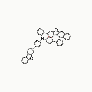 c1ccc(-c2ccc(N(c3ccc(-c4ccc5c(c4)oc4ccccc45)cc3)c3ccccc3-c3ccc4c(c3)oc3cc5ccccc5cc34)cc2)cc1